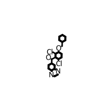 O=C(c1ccc2nccnc2c1)c1c(Cl)ccc(OCc2ccccc2)c1Cl